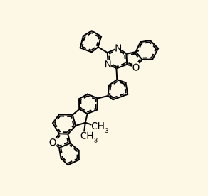 CC1(C)c2cc(-c3cccc(-c4nc(-c5ccccc5)nc5c4oc4ccccc45)c3)ccc2-c2ccc3oc4ccccc4c3c21